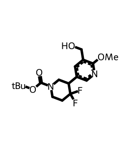 COc1ncc(C2CN(C(=O)OC(C)(C)C)CCC2(F)F)cc1CO